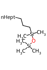 [CH2]CCCCCCCCC[Si](C)(C)O[Si](C)(C)C